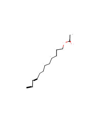 C=C/C=C/CCCCCCCCOC(C)=O